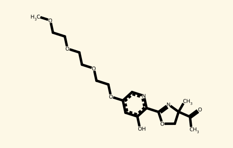 COCCOCCOCCOc1cnc(C2=NC(C)(C(C)=O)CO2)c(O)c1